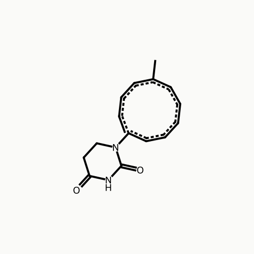 Cc1cccccc(N2CCC(=O)NC2=O)ccc1